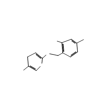 Cc1ccc(COC2=CCC(Br)=CS2)c(F)c1